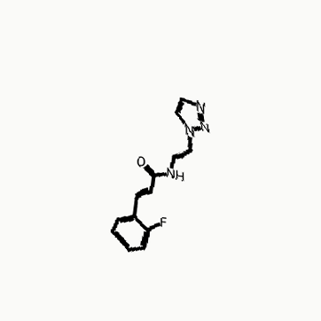 O=C(C=Cc1ccccc1F)NCCn1ccnn1